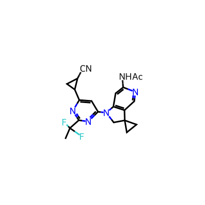 CC(=O)Nc1cc2c(cn1)C1(CC1)CN2c1cc(C2CC2C#N)nc(C(C)(F)F)n1